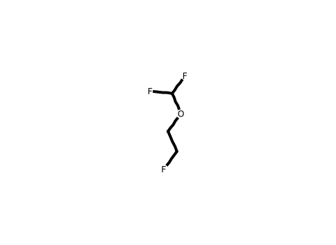 FCCOC(F)F